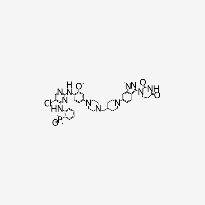 COc1cc(N2CCN(CC3CCN(c4ccc5c(N6CCC(=O)NC6=O)nn(C)c5c4)CC3)CC2)ccc1Nc1ncc(Cl)c(Nc2ccccc2P(C)(C)=O)n1